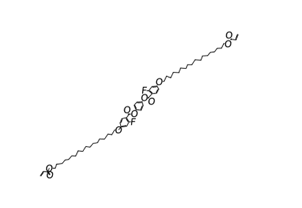 C=CC(=O)OCCCCCCCCCCCCCCCCCCOc1ccc(C(=O)Oc2ccc(OC(=O)c3ccc(OCCCCCCCCCCCCCCCCCCOC(=O)C=C)cc3F)cc2)c(F)c1